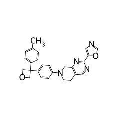 Cc1ccc(C2(c3ccc(N4CCc5cnc(-c6cnco6)nc5C4)cc3)COC2)cc1